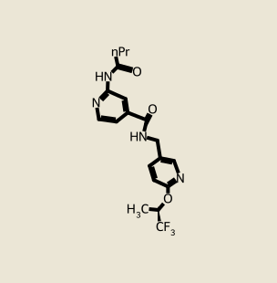 CCCC(=O)Nc1cc(C(=O)NCc2ccc(O[C@H](C)C(F)(F)F)nc2)ccn1